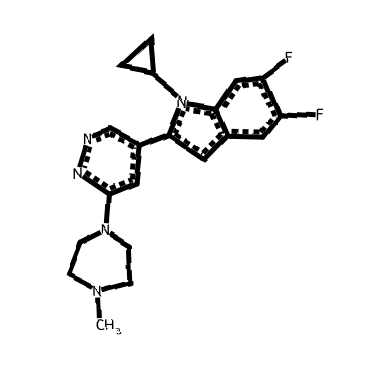 CN1CCN(c2cc(-c3cc4cc(F)c(F)cc4n3C3CC3)cnn2)CC1